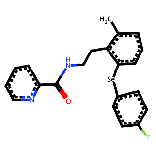 Cc1cccc([Se]c2ccc(F)cc2)c1CCNC(=O)c1ccccn1